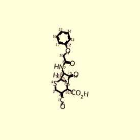 O=C=C1CS[C@H]2C(NC(=O)COc3ccccc3)C(=O)N2C1C(=O)O